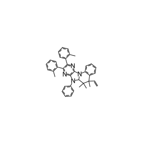 C=CC1(C)c2ccccc2N2c3nc(-c4ccccc4C)c(-c4ccccc4C)nc3N(c3ccccc3)C2C1(C)C